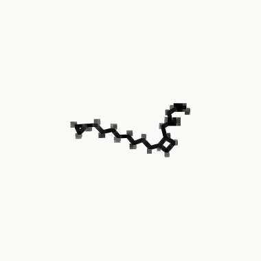 NCNCC1CCC1CCCCCCCCC1CC1